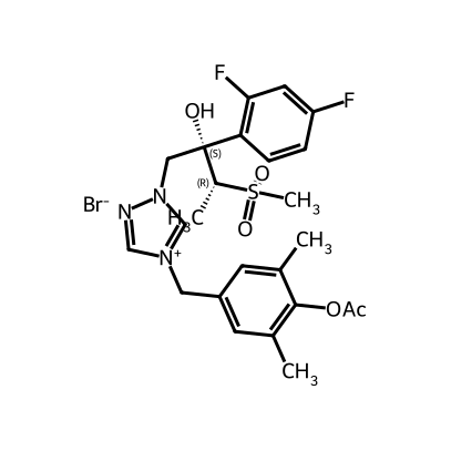 CC(=O)Oc1c(C)cc(C[n+]2cnn(C[C@@](O)(c3ccc(F)cc3F)[C@@H](C)S(C)(=O)=O)c2)cc1C.[Br-]